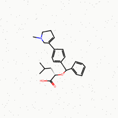 CC(C)C[C@H](OC(c1ccccc1)c1ccc(C2=CCCN(C)C2)cc1)C(=O)O